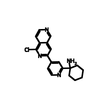 NC1(c2cc(-c3cc4cnccc4c(Cl)n3)ccn2)CCCCC1